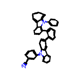 N#Cc1cccc(-n2c3ccccc3c3cc(-c4ccccc4-c4cccc5c6ccccc6n(-c6ccccc6)c45)ccc32)c1